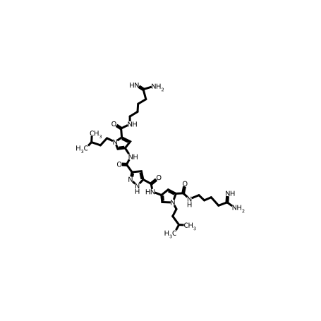 CC(C)CCn1cc(NC(=O)c2cc(C(=O)Nc3cc(C(=O)NCCCCC(=N)N)n(CCC(C)C)c3)[nH]n2)cc1C(=O)NCCCCC(=N)N